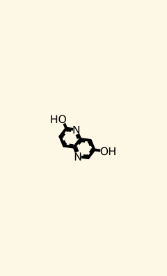 Oc1cnc2ccc(O)nc2c1